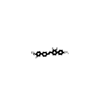 CCOc1ccc(C2CCC(/C=C/c3ccc(-c4ccc(C)cc4)c(F)c3F)CC2)cc1F